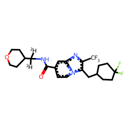 [2H]C([2H])(NC(=O)c1ccn2c(CC3CCC(F)(F)CC3)c(C(F)(F)F)nc2c1)C1CCOCC1